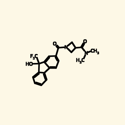 CN(C)C(=O)C1CN(C(=O)c2ccc3c(c2)C(O)(C(F)(F)F)c2ccccc2-3)C1